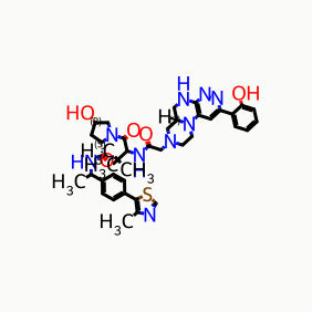 Cc1ncsc1-c1ccc(C(C)NC(=O)[C@@H]2C[C@@H](O)CN2C(=O)C(NC(=O)CN2CCN3c4cc(-c5ccccc5O)nnc4NC[C@H]3C2)C(C)(C)C)cc1